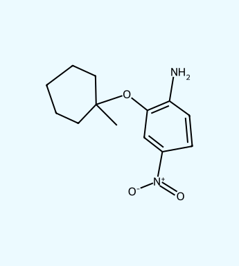 CC1(Oc2cc([N+](=O)[O-])ccc2N)CCCCC1